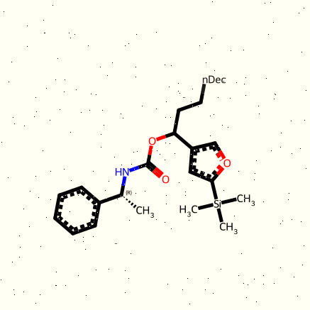 CCCCCCCCCCCCC(OC(=O)N[C@H](C)c1ccccc1)c1coc([Si](C)(C)C)c1